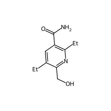 CCc1cc(C(N)=O)c(CC)nc1CO